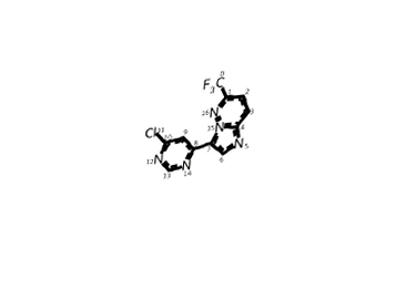 FC(F)(F)c1ccc2ncc(-c3cc(Cl)ncn3)n2n1